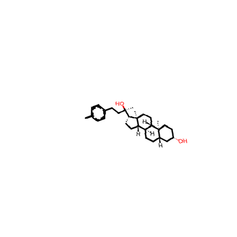 Cc1ccc(CC[C@@](C)(O)[C@H]2CC[C@H]3[C@@H]4CC[C@H]5C[C@@H](O)CC[C@]5(C)[C@H]4CC[C@@]32C)cc1